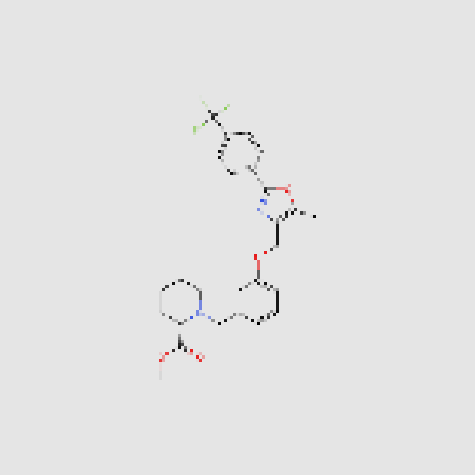 COC(=O)[C@H]1CCCCN1Cc1cccc(OCc2nc(-c3ccc(C(F)(F)F)cc3)oc2C)c1